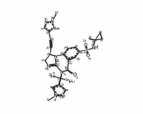 [2H]C([2H])(c1cnn(C)c1)N1C(=O)c2cc(S(=O)(=O)NC3(C)CC3)ccc2N2C1=NC[C@H]2C#Cc1cnn(C)n1